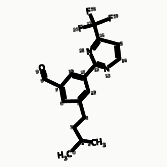 CC(C)CCc1cc(C=O)cc(-c2nccc(C(F)(F)F)n2)c1